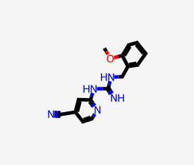 COc1ccccc1CNC(=N)Nc1cc(C#N)ccn1